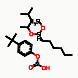 CC(C)(C)c1ccc(O[Si](=O)O)cc1.CCCCCC[SiH](O[SiH3])OC(C)CC(C)C